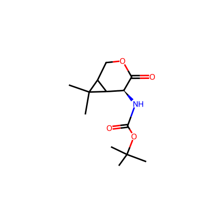 CC(C)(C)OC(=O)N[C@@H]1C(=O)OCC2C1C2(C)C